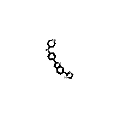 c1cc(-c2cc3ccc(C4=NCCN4)cc3[nH]2)ccc1NC1CCNCC1